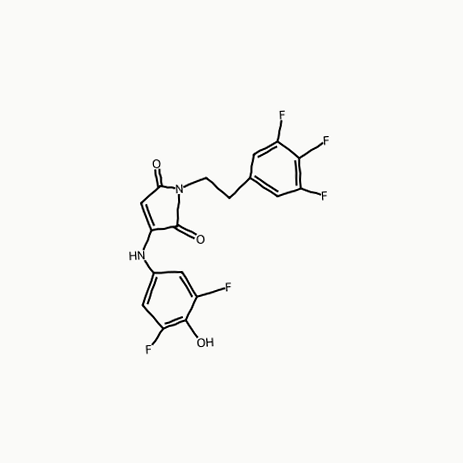 O=C1C=C(Nc2cc(F)c(O)c(F)c2)C(=O)N1CCc1cc(F)c(F)c(F)c1